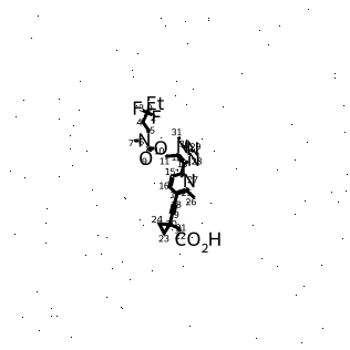 CCC(F)(F)CCN(C)C(=O)OCc1c(-c2ccc(C#CC3(CC(=O)O)CC3)c(C)n2)nnn1C